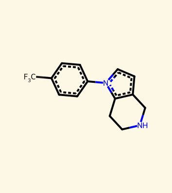 FC(F)(F)c1ccc(-n2ccc3c2CCNC3)cc1